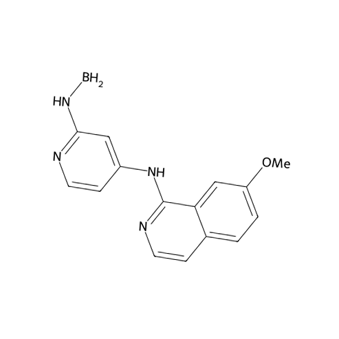 BNc1cc(Nc2nccc3ccc(OC)cc23)ccn1